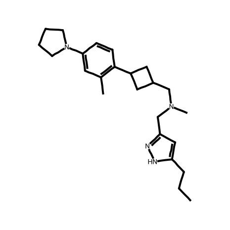 CCCc1cc(CN(C)CC2CC(c3ccc(N4CCCC4)cc3C)C2)n[nH]1